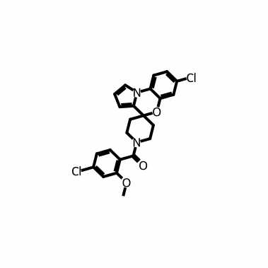 COc1cc(Cl)ccc1C(=O)N1CCC2(CC1)Oc1cc(Cl)ccc1-n1cccc12